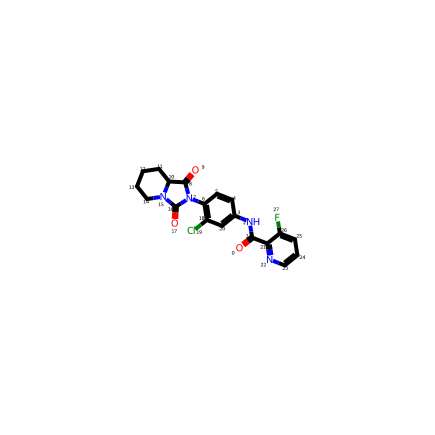 O=C(Nc1ccc(N2C(=O)C3CCCCN3C2=O)c(Cl)c1)c1ncccc1F